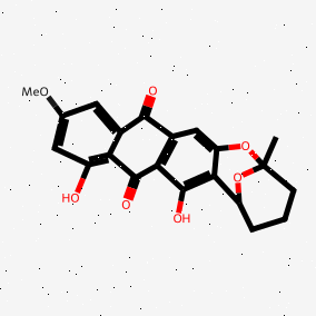 COc1cc(O)c2c(c1)C(=O)c1cc3c(c(O)c1C2=O)C1CCCC(C)(O3)O1